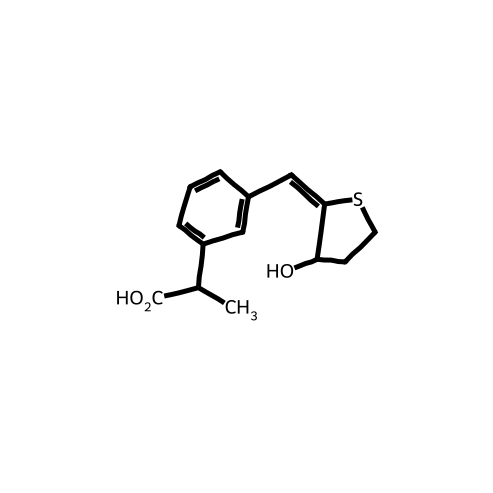 CC(C(=O)O)c1cccc(C=C2SCCC2O)c1